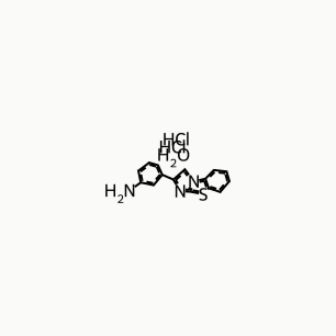 Cl.Cl.Nc1cccc(-c2cn3c(n2)sc2ccccc23)c1.O